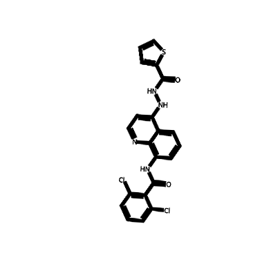 O=C(NNc1ccnc2c(NC(=O)c3c(Cl)cccc3Cl)cccc12)c1cccs1